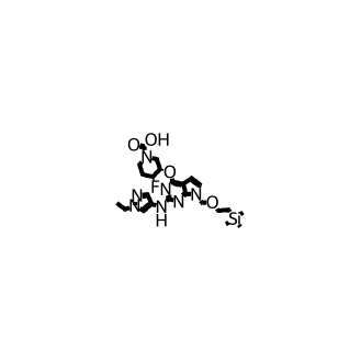 CCn1cc(Nc2nc(O[C@H]3CN(C(=O)O)CC[C@H]3F)c3ccn(COCC[Si](C)(C)C)c3n2)cn1